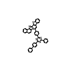 c1ccc(-c2ccc(-c3nc(-c4ccccc4)nc(-c4ccc(-c5cc6c7ccccc7sc6c6nc7c8ccccc8ccc7n56)cc4)n3)cc2)cc1